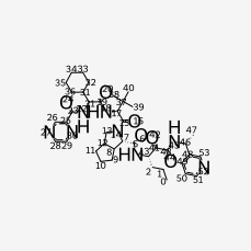 CCC[C@H](NC(=O)[C@@H]1C2CCCC2CN1C(=O)[C@@H](NC(=O)[C@@H](NC(=O)c1cnccn1)C1CCCCC1)C(C)(C)C)C(=O)C(=O)N[C@H](C)c1cccnc1